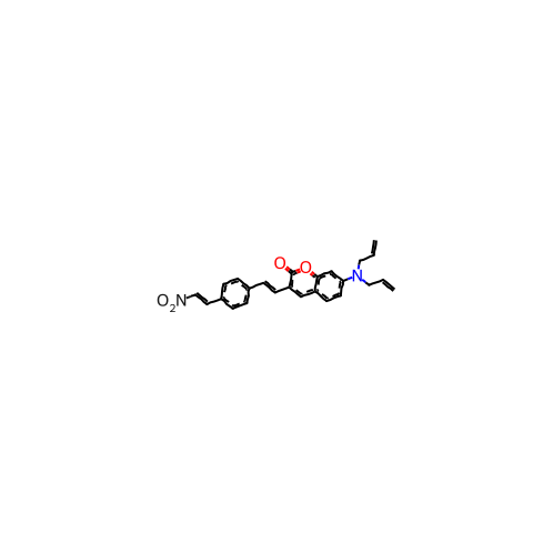 C=CCN(CC=C)c1ccc2cc(/C=C/c3ccc(/C=C/[N+](=O)[O-])cc3)c(=O)oc2c1